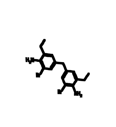 CCc1cc(Cc2cc(Br)c(N)c(CC)c2)cc(Br)c1N